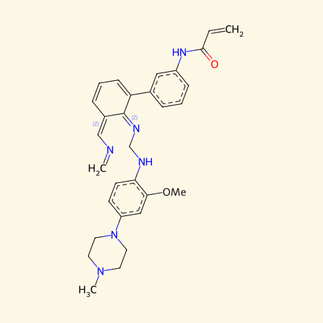 C=CC(=O)Nc1cccc(C2=CC=CC(=C/N=C)/C2=N\CNc2ccc(N3CCN(C)CC3)cc2OC)c1